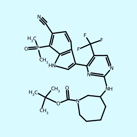 CC(C)(C)OC(=O)N1CCCCC(Nc2ncc(C(F)(F)F)c(-c3c[nH]c4c(P(C)(C)=O)c(C#N)ccc34)n2)C1